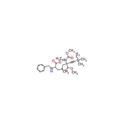 C=C(CC(NCc1ccccc1)C(=O)OC)CC(C#C[Si](C)(C)C)(NC(=O)OC)C(=O)OC